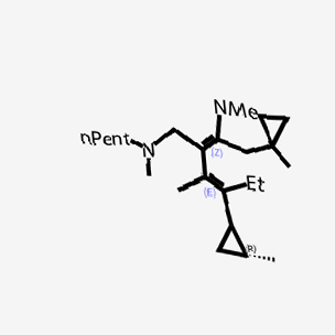 CCCCCN(C)CC(=C(/CC1(C)CC1)NC)/C(C)=C(\CC)C1C[C@H]1C